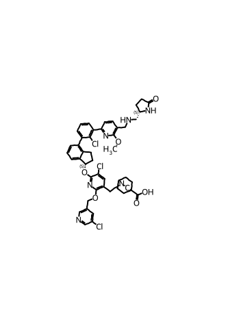 COc1nc(-c2cccc(-c3cccc4c3CC[C@@H]4Oc3nc(OCc4cncc(Cl)c4)c(CN4CC5(C(=O)O)CCC4CC5)cc3Cl)c2Cl)ccc1CNC[C@@H]1CCC(=O)N1